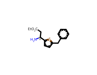 CCOC(=O)C[C@H](N)c1ccc(Cc2ccccc2)s1